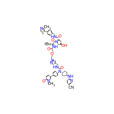 Cc1ncsc1-c1ccc(CNC(=O)[C@@H]2C[C@@H](O)CN2C(=O)[C@@H](NC(=O)COCCn2cc(CNC(=O)N(c3ccc(-c4ccc(=O)n(C)c4)cc3)[C@H]3CC[C@H](Nc4ccc(C#N)cn4)CC3)cn2)C(C)(C)C)cc1